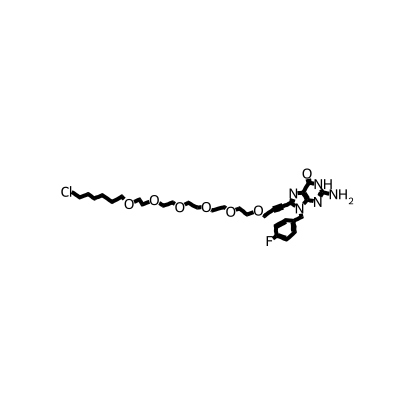 Nc1nc2c(nc(C#CCOCCOCCOCCOCCOCCOCCCCCCCl)n2Cc2ccc(F)cc2)c(=O)[nH]1